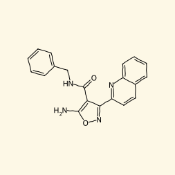 Nc1onc(-c2ccc3ccccc3n2)c1C(=O)NCc1ccccc1